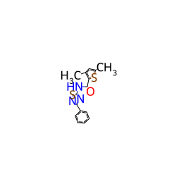 Cc1cc(C)c(C(=O)Nc2nc(-c3ccccc3)ns2)s1